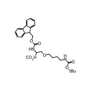 CC(C)(C)OC(=O)NCCCCOCC(NC(=O)OCC1c2ccccc2-c2ccccc21)C(=O)O